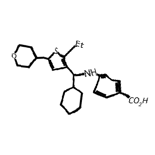 CCc1sc(C2CCOCC2)cc1C(Nc1ccc(C(=O)O)cc1)C1CCCCC1